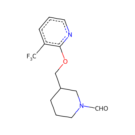 O=CN1CCCC(COc2ncccc2C(F)(F)F)C1